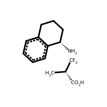 C[C@@H](C(=O)O)C(F)(F)F.N[C@H]1CCCc2ccccc21